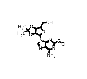 CSc1nc(N)c2ncn(C3OC(CO)C4OC(C)(C)OC43)c2n1